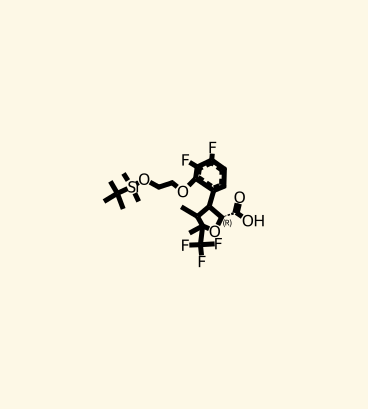 CC1C(c2ccc(F)c(F)c2OCCO[Si](C)(C)C(C)(C)C)[C@H](C(=O)O)OC1(C)C(F)(F)F